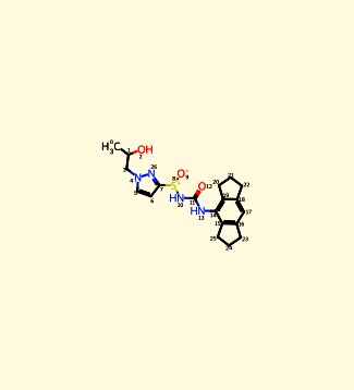 CC(O)Cn1ccc([S+]([O-])NC(=O)Nc2c3c(cc4c2CCC4)CCC3)n1